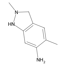 Cc1cc2c(cc1N)NN(C)C2